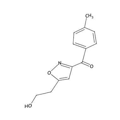 Cc1ccc(C(=O)c2cc(CCO)on2)cc1